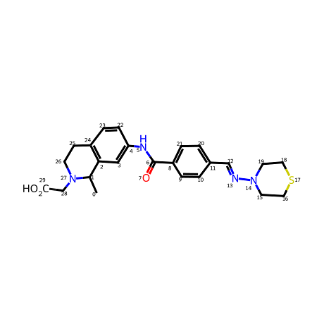 CC1c2cc(NC(=O)c3ccc(C=NN4CCSCC4)cc3)ccc2CCN1CC(=O)O